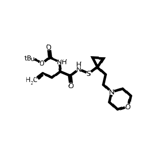 C=CCC(NC(=O)OC(C)(C)C)C(=O)NSC1(CCN2CCOCC2)CC1